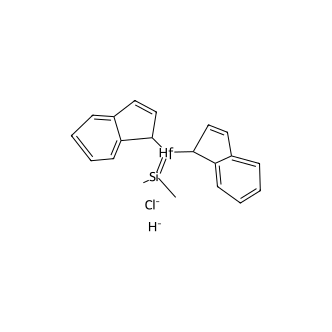 C[Si](C)=[Hf]([CH]1C=Cc2ccccc21)[CH]1C=Cc2ccccc21.[Cl-].[H-]